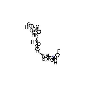 Cc1[nH]c(/C=C2\C(=O)Nc3ccc(F)cc32)c(C)c1C(=O)NCCCN1CCN(CC(=O)NCCCNc2cccc3c2C(=O)N(C2CCC(=O)NC2=O)C3=O)CC1